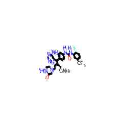 COCc1c(-c2ccc(NC(=O)Nc3cc(C(F)(F)F)ccc3F)cc2)c2c(N)ncnn2c1CN1CCNC(=O)C1